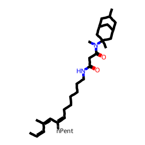 C\C=C/C(C)=C\C(=C/CCCCCCNC(=O)CC(=O)N(C)C1(C)CC2CC(C)CC(C2)C1)CCCCC